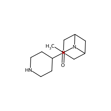 CC(=O)N1C2CC1CN(C1CCNCC1)C2